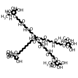 COP(=O)(O)OCC1CC(O)CN1C(=O)CCCCCCCCCCC(=O)NC(COCCC(=O)NCCCNC(=O)CCCCOC1CC(CO)C(O)C(O)C1NC(C)=O)(COCCC(=O)NCCCNC(=O)CCCCOC1OC(CO)C(O)C(O)C1NC(C)=O)COCCC(=O)NCCCNC(=O)CCCCOC1OC(CO)C(O)C(O)C1NC(C)=O